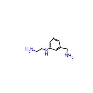 NCCNc1c[c]cc(CN)c1